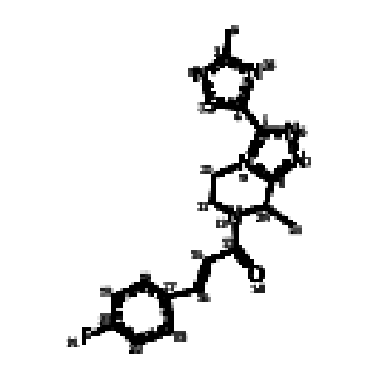 Cc1nsc(-c2nnc3n2CCN(C(=O)C=Cc2ccc(F)cc2)C3C)n1